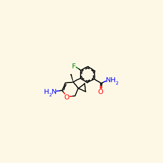 C[C@]1(c2cc(C(N)=O)ccc2F)C=C(N)OCC12CC2